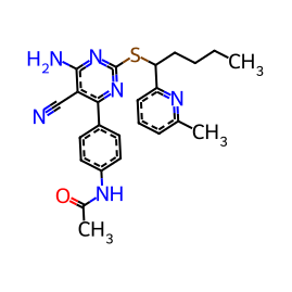 CCCCC(Sc1nc(N)c(C#N)c(-c2ccc(NC(C)=O)cc2)n1)c1cccc(C)n1